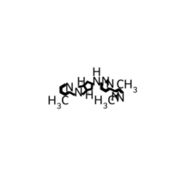 Cc1cccnc1CN1C[C@H]2C[C@@H](Nc3ccc(-c4c(C)cnn4C)nn3)C[C@H]2C1